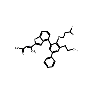 CCCc1cc(-c2ccccc2)cc(-c2cccc3sc(/C(C)=C/C(=O)O)cc23)c1OCCC(F)F